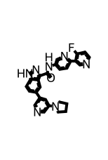 O=C(Nc1ccc(-c2cnccc2F)nc1)c1n[nH]c2ccc(-c3cncc(N4CCCC4)c3)cc12